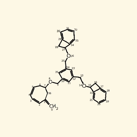 C=C1/C=C\C=C/CC(OCc2cc(COC3Cc4ccccc43)cc(COC3Cc4ccccc43)c2)C1